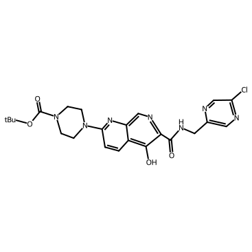 CC(C)(C)OC(=O)N1CCN(c2ccc3c(O)c(C(=O)NCc4cnc(Cl)cn4)ncc3n2)CC1